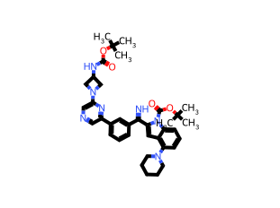 CC(C)(C)OC(=O)NC1CN(c2cncc(-c3cccc(C(=N)c4cc5c(N6CCCCC6)cccc5n4C(=O)OC(C)(C)C)c3)n2)C1